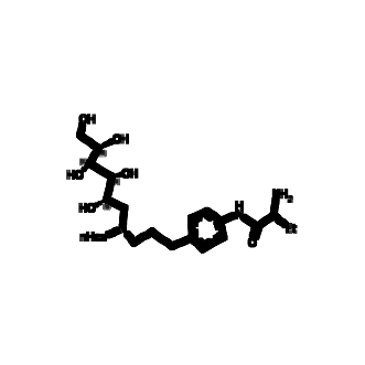 CCCCCCN(CCCc1ccc(NC(=O)C(N)CC)cc1)C[C@H](O)[C@@H](O)[C@H](O)[C@H](O)CO